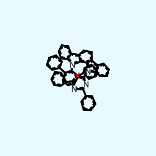 c1ccc(-c2nc(-c3ccccc3)nc(-n3c4ccccc4c4ccc5c6ccccc6n(-c6c(-c7ccccc7)cccc6-c6ccccc6)c5c43)n2)cc1